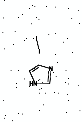 II.c1c[nH]cn1